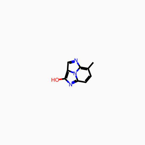 Cc1ccc2nc(O)c3cnc1n23